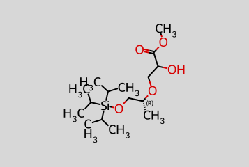 COC(=O)C(O)CO[C@H](C)CO[Si](C(C)C)(C(C)C)C(C)C